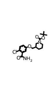 CC(C)(C)OC(=O)N1CCCC(COc2ccc(Cl)c(C(N)=O)c2)C1